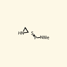 C1CN1.CNP=S